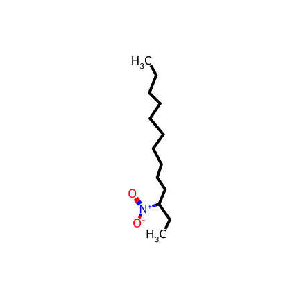 CCCCCCCCCCC(CC)[N+](=O)[O-]